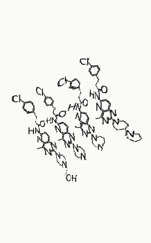 Cc1nc(N2CCC(N3CCCC3)CC2)nc2ccc(NC(=O)CCc3ccc(Cl)cc3)nc12.Cc1nc(N2CCCN(C)CC2)nc2ccc(NC(=O)CCc3ccc(Cl)cc3)nc12.Cc1nc(N2CCN(C)CC2)nc2ccc(NC(=O)CCc3ccc(Cl)cc3)nc12.Cc1nc(N2CCN(CCO)CC2)nc2ccc(NC(=O)CCc3ccc(Cl)cc3)nc12